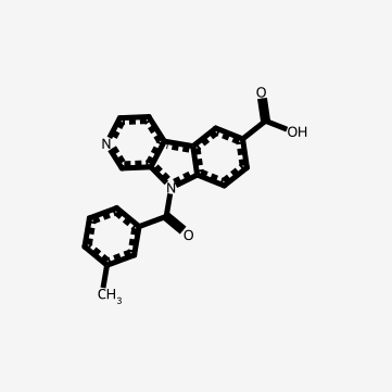 Cc1cccc(C(=O)n2c3ccc(C(=O)O)cc3c3ccncc32)c1